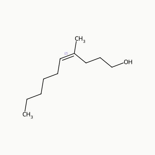 CCCCC/C=C(/C)CCCO